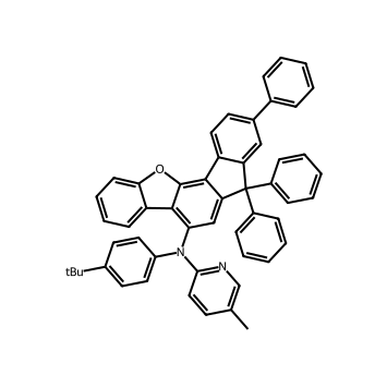 Cc1ccc(N(c2ccc(C(C)(C)C)cc2)c2cc3c(c4oc5ccccc5c24)-c2ccc(-c4ccccc4)cc2C3(c2ccccc2)c2ccccc2)nc1